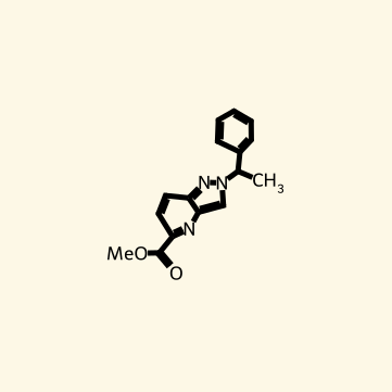 COC(=O)c1ccc2nn(C(C)c3ccccc3)cc2n1